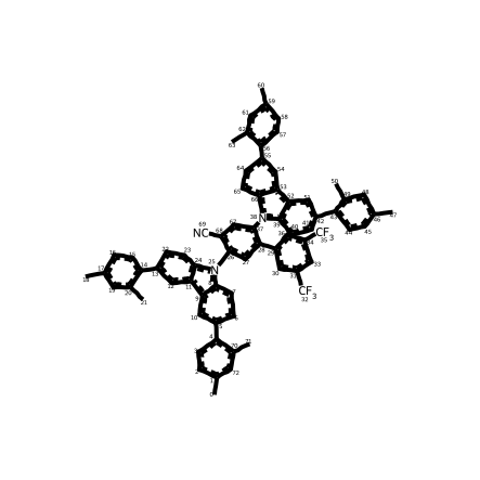 Cc1ccc(-c2ccc3c(c2)c2cc(-c4ccc(C)cc4C)ccc2n3-c2cc(-c3cc(C(F)(F)F)cc(C(F)(F)F)c3)c(-n3c4ccc(-c5ccc(C)cc5C)cc4c4cc(-c5ccc(C)cc5C)ccc43)cc2C#N)c(C)c1